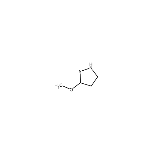 COC1C[CH]NS1